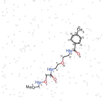 COCNOCC(=O)NCCOCCNC(=O)c1ccc(C)cc1